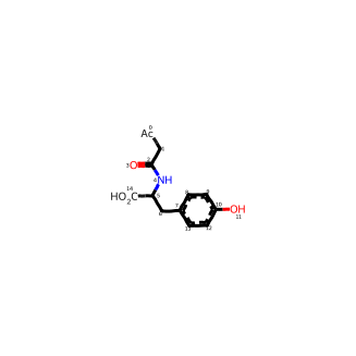 CC(=O)CC(=O)NC(Cc1ccc(O)cc1)C(=O)O